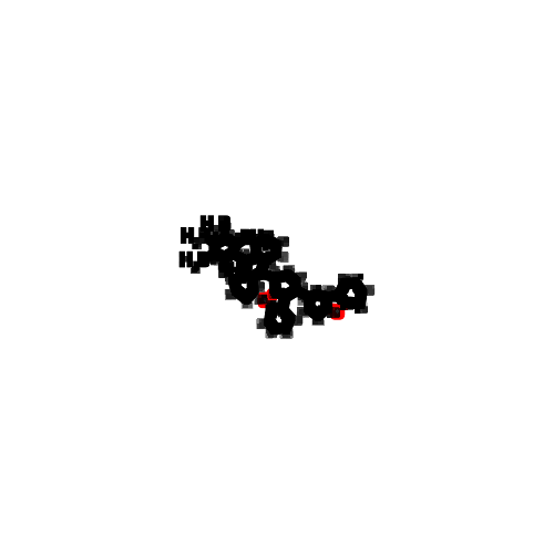 Bc1c(B)c(B)c(-c2c3ccccc3c(-c3ccc(-c4ccc5oc6ccccc6c5c4)c4c3oc3ccccc34)c3ccccc23)c(B)c1B